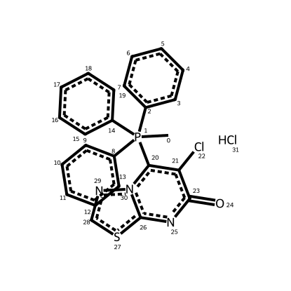 CP(c1ccccc1)(c1ccccc1)(c1ccccc1)c1c(Cl)c(=O)nc2scnn12.Cl